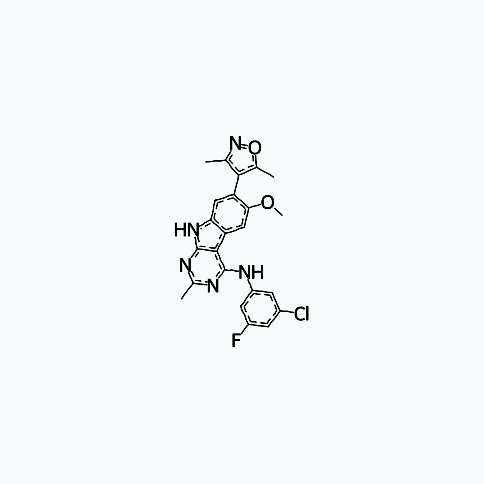 COc1cc2c(cc1-c1c(C)noc1C)[nH]c1nc(C)nc(Nc3cc(F)cc(Cl)c3)c12